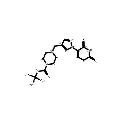 CC(C)(C)OC(=O)N1CCN(Cc2cnn(C3CCC(=O)NC3=O)c2)CC1